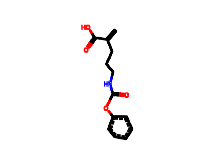 C=C(CCCNC(=O)Oc1ccccc1)C(=O)O